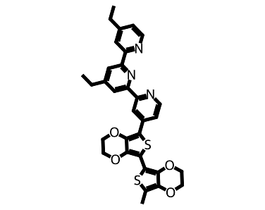 CCc1ccnc(-c2cc(CC)cc(-c3cc(-c4sc(-c5sc(C)c6c5OCCO6)c5c4OCCO5)ccn3)n2)c1